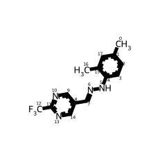 Cc1ccc(N/N=C/c2cnc(C(F)(F)F)nc2)c(C)c1